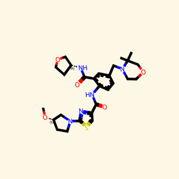 CO[C@H]1CCN(c2nc(C(=O)Nc3ccc(CN4CCOCC4(C)C)cc3C(=O)N[C@@H]3CCOC3)cs2)C1